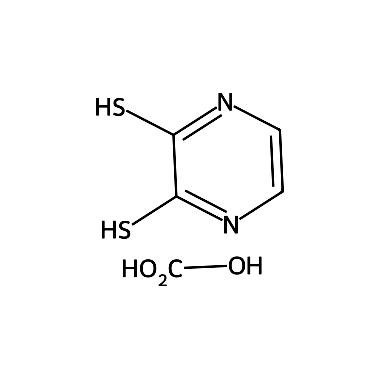 O=C(O)O.Sc1nccnc1S